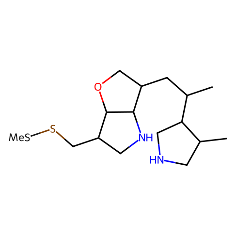 CSSCC1CNC2C(CC(C)C3CNCC3C)COC12